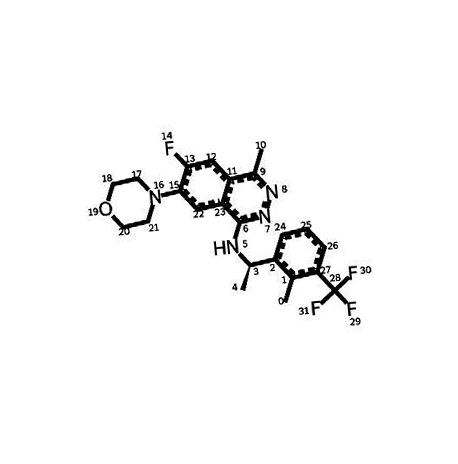 Cc1c([C@@H](C)Nc2nnc(C)c3cc(F)c(N4CCOCC4)cc23)cccc1C(F)(F)F